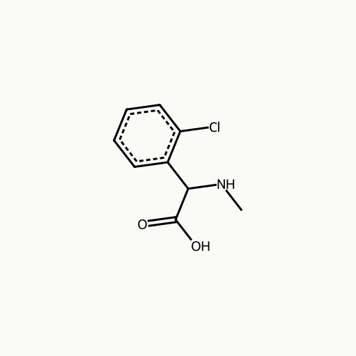 CNC(C(=O)O)c1ccccc1Cl